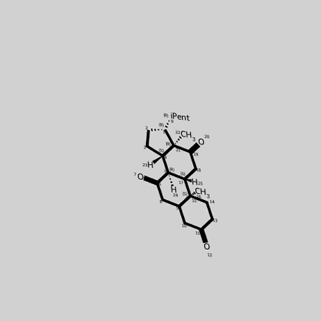 CCC[C@@H](C)[C@H]1CC[C@H]2[C@@H]3C(=O)CC4CC(=O)CC[C@]4(C)[C@H]3CC(=O)[C@]12C